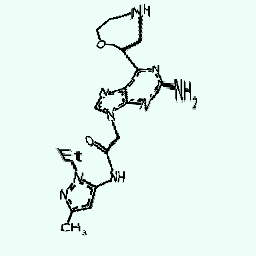 CCn1nc(C)cc1NC(=O)Cn1cnc2c(C3CNCCO3)nc(N)nc21